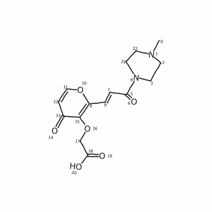 CN1CCN(C(=O)C=Cc2occc(=O)c2OCC(=O)O)CC1